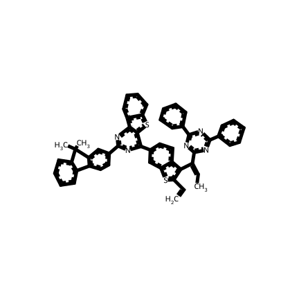 C=Cc1sc2cc(-c3nc(-c4ccc5c(c4)C(C)(C)c4ccccc4-5)nc4c3sc3ccccc34)ccc2c1/C(=C\C)c1nc(-c2ccccc2)nc(-c2ccccc2)n1